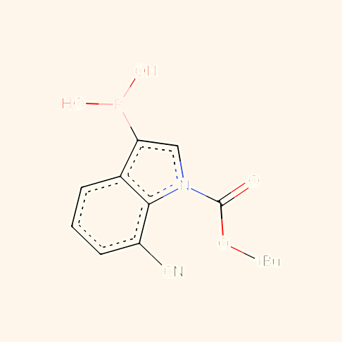 CC(C)(C)OC(=O)n1cc(B(O)O)c2cccc(C#N)c21